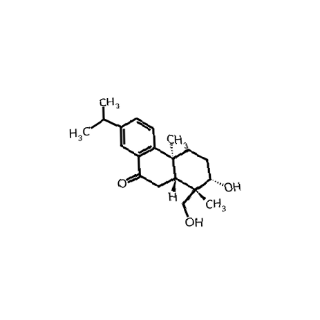 CC(C)c1ccc2c(c1)C(=O)C[C@H]1[C@@](C)(CO)[C@@H](O)CC[C@]21C